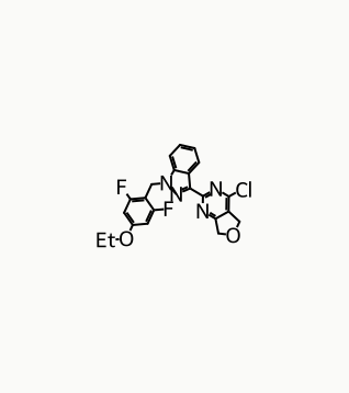 CCOc1cc(F)c(Cn2nc(-c3nc(Cl)c4c(n3)COC4)c3ccccc32)c(F)c1